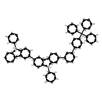 c1ccc(-n2c3ccccc3c3cc(-c4ccc5c(c4)c4ccc(-c6cccc(-c7ccc(C(c8ccccc8)(c8ccccc8)c8ccccc8)cc7)c6)cc4n5-c4ccccc4)ccc32)cc1